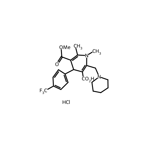 COC(=O)C1=C(C)N(C)C(CN2CCCCC2)=C(C(=O)O)C1c1ccc(C(F)(F)F)cc1.Cl